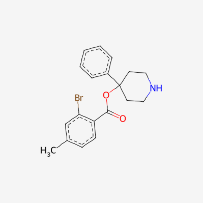 Cc1ccc(C(=O)OC2(c3ccccc3)CCNCC2)c(Br)c1